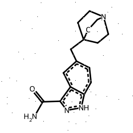 NC(=O)c1n[nH]c2ccc(CC34CCN(CC3)CC4)cc12